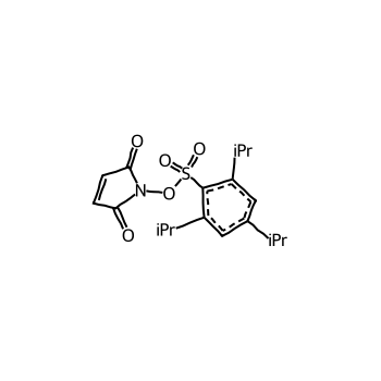 CC(C)c1cc(C(C)C)c(S(=O)(=O)ON2C(=O)C=CC2=O)c(C(C)C)c1